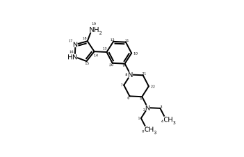 CCN(CC)C1CCN(c2cccc(-c3c[nH]nc3N)c2)CC1